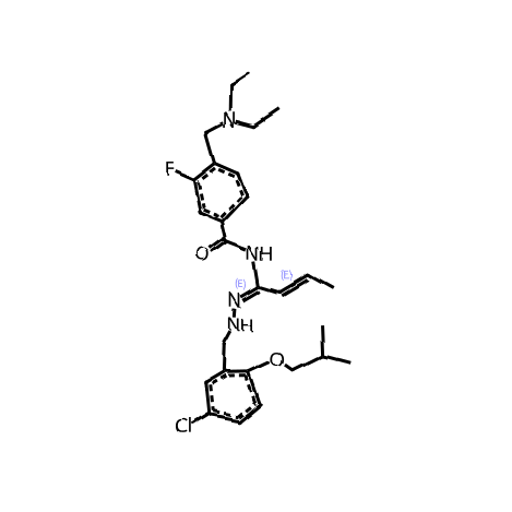 C/C=C/C(=N\NCc1cc(Cl)ccc1OCC(C)C)NC(=O)c1ccc(CN(CC)CC)c(F)c1